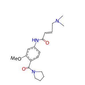 COc1cc(NC(=O)/C=C/CN(C)C)ccc1C(=O)N1CCCC1